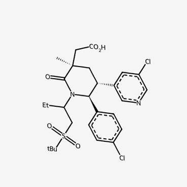 CCC(CS(=O)(=O)C(C)(C)C)N1C(=O)[C@@](C)(CC(=O)O)C[C@H](c2cncc(Cl)c2)[C@H]1c1ccc(Cl)cc1